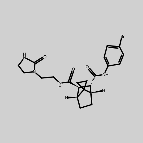 O=C(NCCN1CCNC1=O)[C@H]1[C@H](C(=O)Nc2ccc(Br)cc2)[C@@H]2CC[C@H]1C21CC1